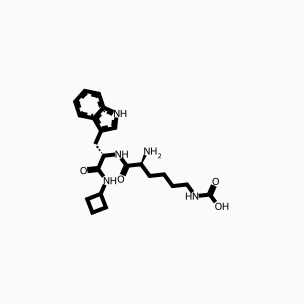 N[C@@H](CCCCNC(=O)O)C(=O)N[C@@H](Cc1c[nH]c2ccccc12)C(=O)NC1CCC1